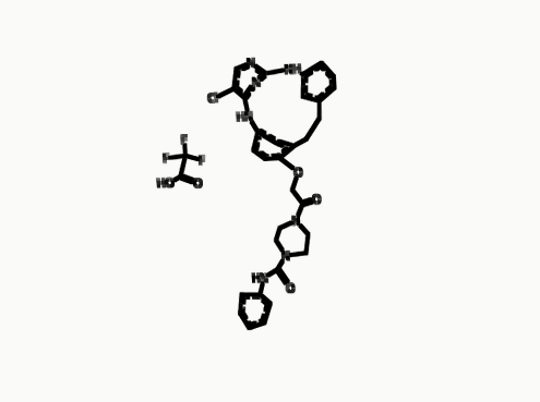 O=C(COc1ccc2cc1CCc1cccc(c1)Nc1ncc(Cl)c(n1)N2)N1CCN(C(=O)Nc2ccccc2)CC1.O=C(O)C(F)(F)F